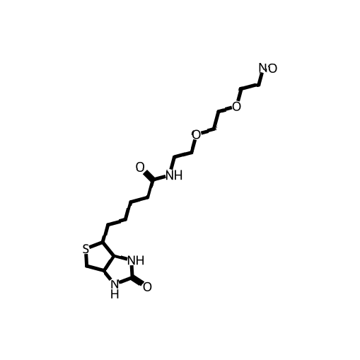 O=NCCOCCOCCNC(=O)CCCCC1SCC2NC(=O)NC21